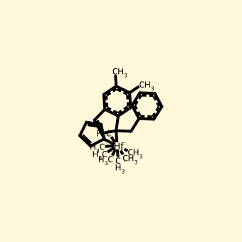 Cc1cc2c(cc1C)[C](Cc1ccccc1)([Hf]([CH3])([CH3])([CH3])([CH3])([CH3])([CH3])([CH3])[CH]1C=CC=C1)C=C2